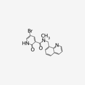 CN(Cc1cccc2cccnc12)C(=O)c1cc(Br)c[nH]c1=O